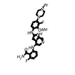 COc1c(Nc2cc3c(Nc4cccc(F)c4C(N)=O)cncc3[nH]2)ccc(N2CCN(C(C)C)CC2)c1F